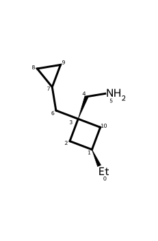 CC[C@H]1C[C@](CN)(CC2CC2)C1